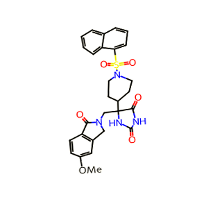 COc1ccc2c(c1)CN(CC1(C3CCN(S(=O)(=O)c4cccc5ccccc45)CC3)NC(=O)NC1=O)C2=O